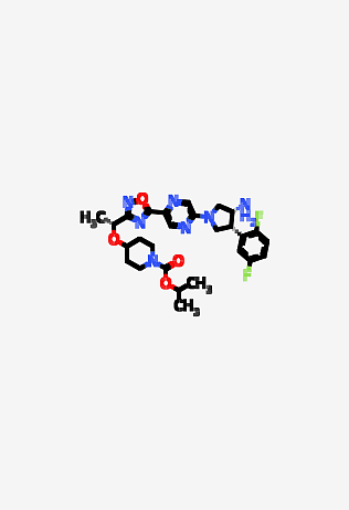 CC(C)OC(=O)N1CCC(O[C@H](C)c2noc(-c3cnc(N4C[C@H](N)[C@H](c5cc(F)ccc5F)C4)cn3)n2)CC1